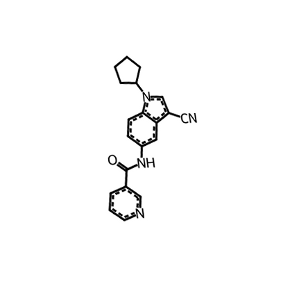 N#Cc1cn(C2CCCC2)c2ccc(NC(=O)c3cccnc3)cc12